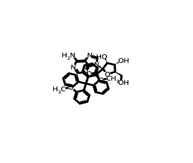 COc1ccccc1C(c1ccccc1)(c1ccccc1OC)c1ccccc1C(=O)[C@@]1(n2cnc3c(N)ncnc32)O[C@H](CO)[C@@H](O)[C@H]1O